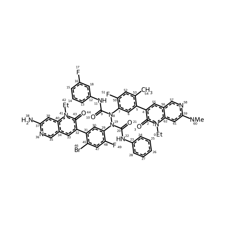 CCn1c(=O)c(-c2cc(N(C(=O)Nc3cccc(F)c3)N(C(=O)Nc3ccccc3)c3cc(-c4cc5cnc(N)cc5n(CC)c4=O)c(Br)cc3F)c(F)cc2C)cc2cnc(NC)cc21